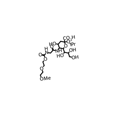 COCCOCCOC(=O)NCC(=O)NC1C(O)CC(OC(C)C)(C(=O)O)OC1C(O)C(O)CO